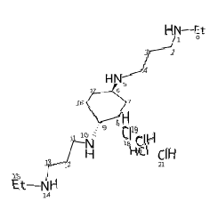 CCNCCCN[C@H]1CC[C@H](NCCCNCC)CC1.Cl.Cl.Cl.Cl